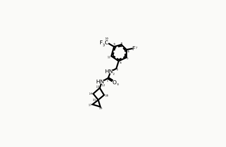 O=C(NCc1cc(F)cc(C(F)(F)F)c1)NC1CC2(CC2)C1